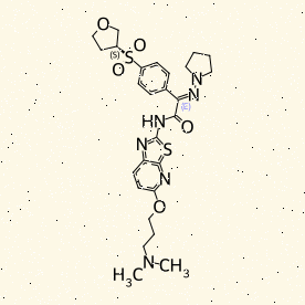 CN(C)CCCOc1ccc2nc(NC(=O)/C(=N/N3CCCC3)c3ccc(S(=O)(=O)[C@H]4CCOC4)cc3)sc2n1